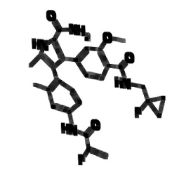 C=C(F)C(=O)Nc1ccc(-c2c(C)[nH]c(C(N)=O)c2-c2ccc(C(=O)NCC3(F)CC3)c(OC)c2)c(C)c1